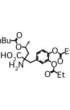 CCCCC(=O)O[C@@H](C)CC(N)(Cc1ccc(OC(=O)CC)c(OC(=O)CC)c1)C(=O)O